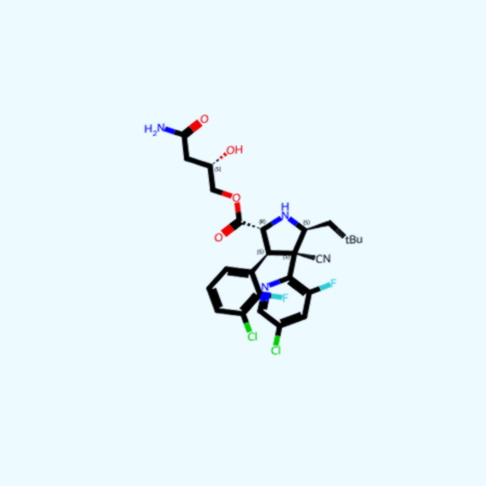 CC(C)(C)C[C@@H]1N[C@@H](C(=O)OC[C@@H](O)CC(N)=O)[C@H](c2cccc(Cl)c2F)[C@@]1(C#N)c1ncc(Cl)cc1F